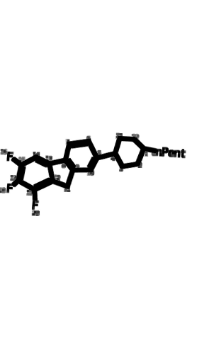 CCCCCC1CCC(c2ccc3c(c2)Cc2c-3cc(F)c(F)c2F)CC1